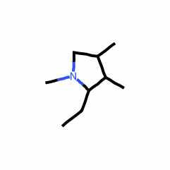 CCC1C(C)C(C)CN1C